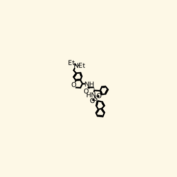 CCN(CC)Cc1ccc2c(c1)OCCC2NC(=O)C[C@@H](NS(=O)(=O)c1ccc2ccccc2c1)c1ccccc1